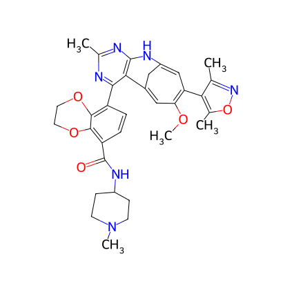 COC1=C(c2c(C)noc2C)C=C2CC(=C1)c1c(nc(C)nc1-c1ccc(C(=O)NC3CCN(C)CC3)c3c1OCCO3)N2